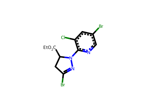 CCOC(=O)C1CC(Br)=NN1c1ncc(Br)cc1Cl